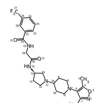 Cc1noc(C)c1N1CCC(N2CC[C@@H](NC(=O)CNC(=O)c3cccc(C(F)(F)F)c3)C2)CC1